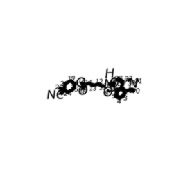 C=C(c1cccc(S(=O)(=O)NCCCCC(=O)OC2CCC(C)(C#N)CC2)c1/C=C\C)N(C)C